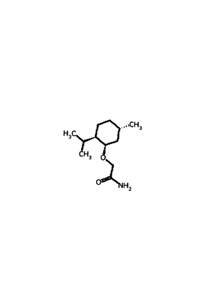 CC(C)[C@H]1CC[C@H](C)C[C@H]1OCC(N)=O